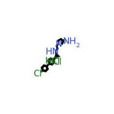 Cl.Cl.N[C@@H]1CCN(CCNC2CC2c2ccc(-c3ccc(Cl)cc3)cc2)C1